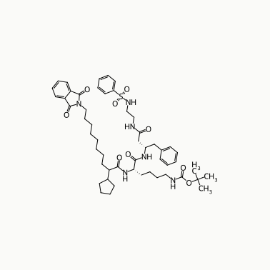 CC(C)(C)OC(=O)NCCCC[C@H](NC(=O)C(CCCCCCCCN1C(=O)c2ccccc2C1=O)C1CCCC1)C(=O)N[C@H](CC(=O)NCCNS(=O)(=O)c1ccccc1)Cc1ccccc1